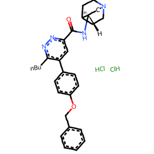 CCCCc1nnc(C(=O)N[C@H]2CN3CCC2CC3)cc1-c1ccc(OCc2ccccc2)cc1.Cl.Cl